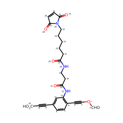 O=COC#Cc1ccc(C#CC(=O)O)cc1NC(=O)CCNC(=O)CCCCCN1C(=O)C=CC1=O